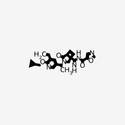 C=Cc1cc(C(C)N2CC3(C(=N)NC(=O)c4cnco4)C=CC3C2=O)cnc1OCC1CC1